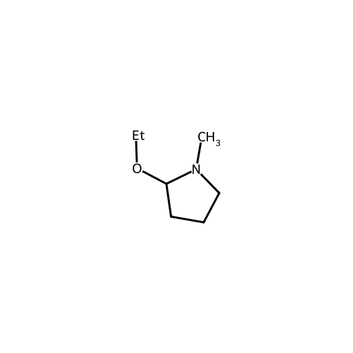 CCOC1CCCN1C